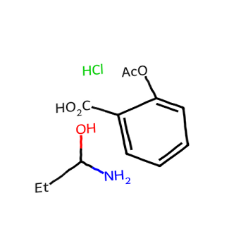 CC(=O)Oc1ccccc1C(=O)O.CCC(N)O.Cl